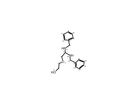 OCCOCC(NCc1ccccc1)NCc1ccccc1